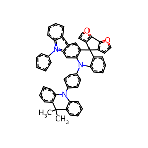 CC1(C)c2ccccc2N(c2ccc(N3c4ccccc4C4(c5cc6c7ccccc7n(-c7ccccc7)c6cc53)c3ccoc3-c3occc34)cc2)c2ccccc21